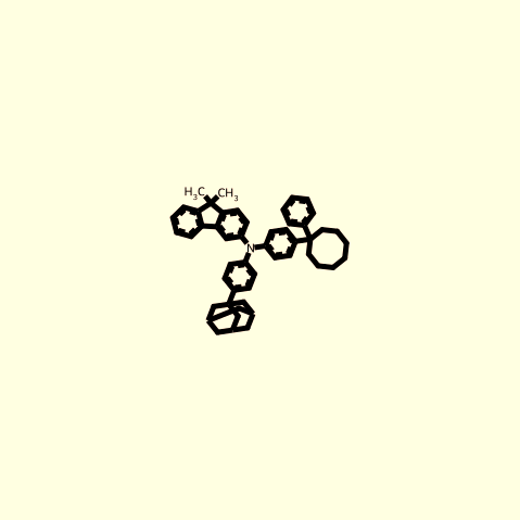 CC1(C)c2ccccc2-c2cc(N(c3ccc(C45CC6CC(CC(C6)C4)C5)cc3)c3ccc(C4(c5ccccc5)CCCCCCC4)cc3)ccc21